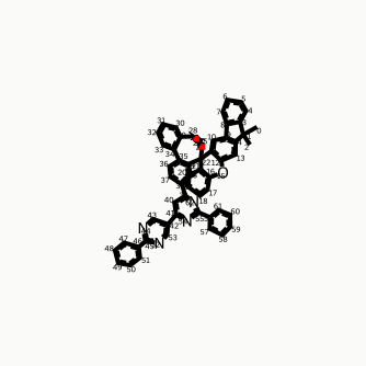 CC1(C)c2ccccc2-c2cc3c(cc21)Oc1ccccc1C31c2ccccc2-c2ccccc2-c2ccc(-c3cc(-c4cnc(-c5ccccc5)nc4)nc(-c4ccccc4)n3)cc21